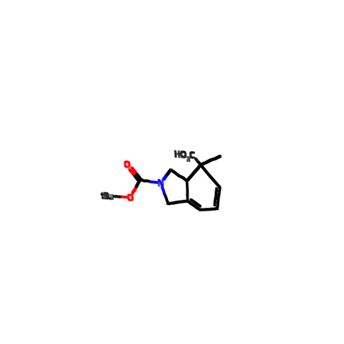 CC(C)(C)OC(=O)N1CC2=CC=CC(C)(C(=O)O)C2C1